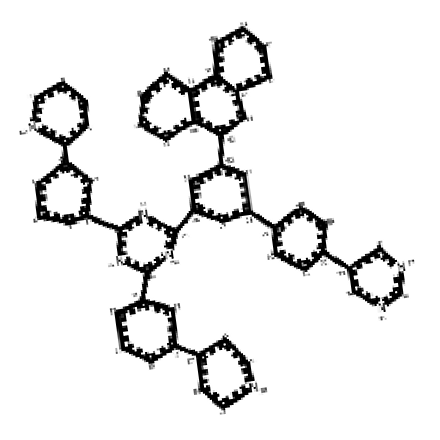 c1ccc(-c2cccc(-c3nc(-c4cccc(-c5ccncc5)c4)nc(-c4cc(-c5ccc(-c6cncnc6)cc5)cc(-c5cc6ccccc6c6ccccc56)c4)n3)c2)nc1